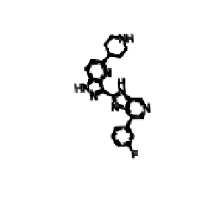 Fc1cccc(-c2cncc3[nH]c(-c4n[nH]c5ccc(C6CCNCC6)nc45)nc23)c1